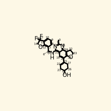 Cc1nc(N[C@H](C)c2cccc3c2OCC3(F)F)c2cc(C3=CCC(O)CC3)c3c(c2n1)CCO3